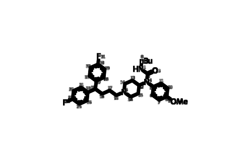 CCCCNC(=O)N(c1ccc(OC)cc1)C1CCN(CCCC(c2ccc(F)cc2)c2ccc(F)cc2)CC1